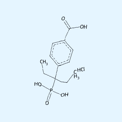 CCC(CC)(c1ccc(C(=O)O)cc1)P(=O)(O)O.Cl